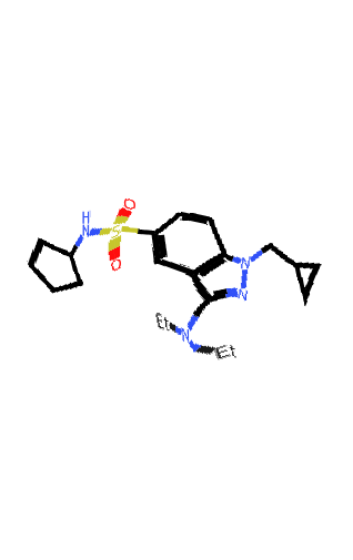 CCN(CC)c1nn(CC2CC2)c2ccc(S(=O)(=O)NC3CCCC3)cc12